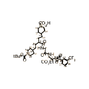 CCOC(=O)[C@H](CNC(=O)CNC(=O)C(CCC1CCN(C(=O)O)CC1)CCC1CCN(C(=O)OC(C)(C)C)CC1)NS(=O)(=O)c1cccc(C(F)(F)F)c1